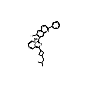 CN(C)CC1CC(C2=C3C=NC=C[N+]3(N)C(c3cc4nc(-c5ccccc5)ccc4cc3Cl)=N2)C1